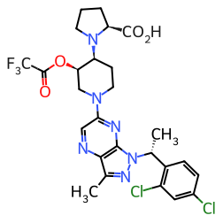 Cc1nn([C@H](C)c2ccc(Cl)cc2Cl)c2nc(N3CC[C@H](N4CCC[C@H]4C(=O)O)[C@H](OC(=O)C(F)(F)F)C3)cnc12